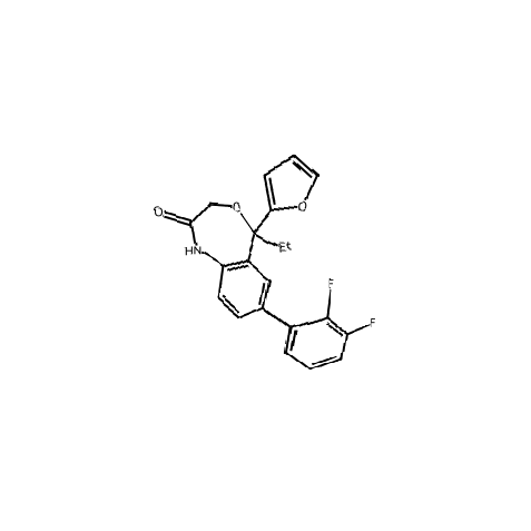 CCC1(c2ccco2)OCC(=O)Nc2ccc(-c3cccc(F)c3F)cc21